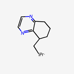 C[C](C)CC1CCCc2nccnc21